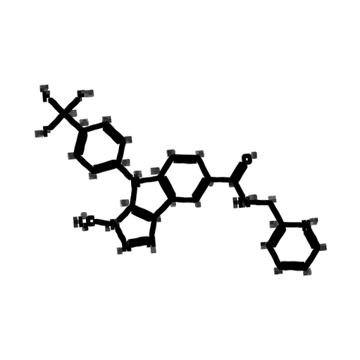 Cn1nnc2c3cc(C(=O)NCc4ccccn4)ccc3n(-c3ccc(C(F)(F)F)cc3)c21